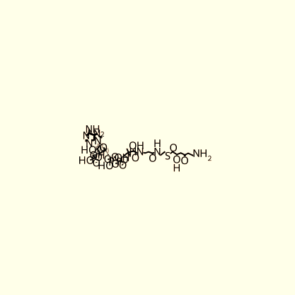 CC(C)(COP(=O)(O)OP(=O)(O)OC[C@H]1O[C@@H](n2cnc3c(N)ncnc32)[C@H](O)[C@@H]1OP(=O)(O)O)C(O)C(=O)NCCC(=O)NCCSC(=O)C(O)CC(=O)CCN